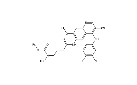 CCOc1cc2ncc(C#N)c(Nc3ccc(F)c(Cl)c3)c2cc1NC(=O)/C=C/CN(C)C(=O)OC(C)C